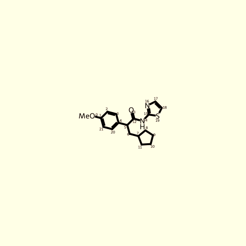 COc1ccc(C(CC2CCCC2)C(=O)Nc2nccs2)cc1